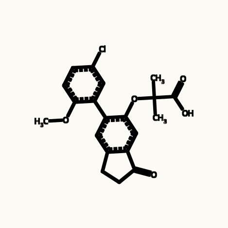 COc1ccc(Cl)cc1-c1cc2c(cc1OC(C)(C)C(=O)O)C(=O)CC2